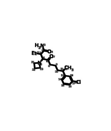 CCC(C(N)=O)C(C(=O)CCCC(C)c1cccc(Cl)c1)N1CCC1